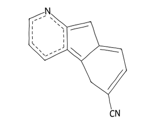 N#CC1=CC=C2C=c3ncccc3=C2C1